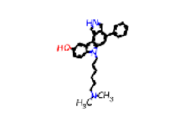 CN(C)CCCCCCn1c2ccc(O)cc2c2c3c[nH]cc3c(-c3ccccc3)cc21